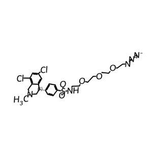 CN1Cc2c(Cl)cc(Cl)cc2[C@H](c2ccc(S(=O)(=O)NCCOCCOCCOCCN=[N+]=[N-])cc2)C1